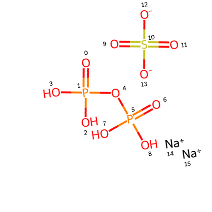 O=P(O)(O)OP(=O)(O)O.O=S(=O)([O-])[O-].[Na+].[Na+]